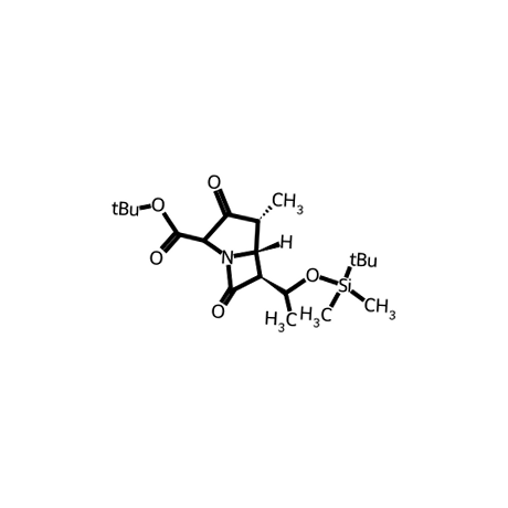 CC(O[Si](C)(C)C(C)(C)C)[C@H]1C(=O)N2C(C(=O)OC(C)(C)C)C(=O)[C@H](C)[C@H]12